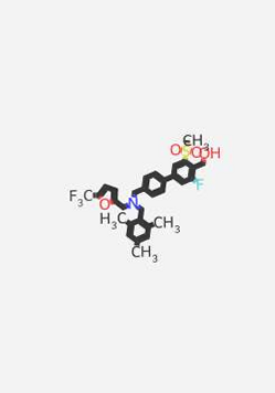 Cc1cc(C)c(CN(Cc2ccc(-c3cc(F)c(CO)c(S(C)(=O)=O)c3)cc2)Cc2ccc(C(F)(F)F)o2)c(C)c1